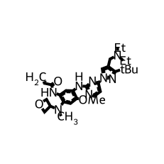 C=CC(=O)Nc1cc(Nc2nccc(-n3cc(CN(CC)CC)c(C(C)(C)C)n3)n2)c(OC)cc1N(C)C1COC1